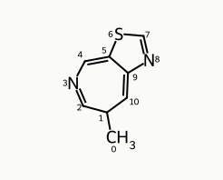 CC1C=NC=c2scnc2=C1